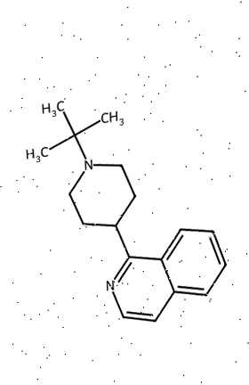 CC(C)(C)N1CCC(c2nccc3ccccc23)CC1